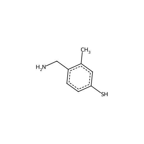 Cc1cc(S)ccc1CN